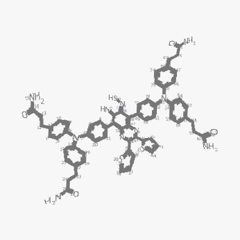 N=C1C(c2ccc(N(c3ccc(CCC(N)=O)cc3)c3ccc(CCC(N)=O)cc3)cc2)=c2nc(-c3cccs3)c(-c3cccs3)nc2=C(c2ccc(N(c3ccc(CCC(N)=O)cc3)c3ccc(CCC(N)=O)cc3)cc2)/C1=N/S